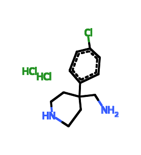 Cl.Cl.NCC1(c2ccc(Cl)cc2)CCNCC1